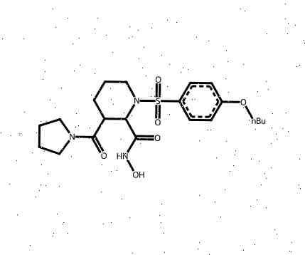 CCCCOc1ccc(S(=O)(=O)N2CCCC(C(=O)N3CCCC3)C2C(=O)NO)cc1